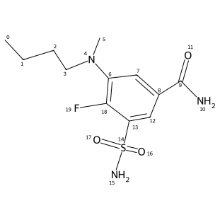 CCCCN(C)c1cc(C(N)=O)cc(S(N)(=O)=O)c1F